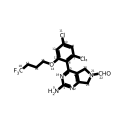 Nc1nc2c(c(-c3c(Cl)cc(Cl)cc3OCCCC(F)(F)F)n1)CN(C=O)C2